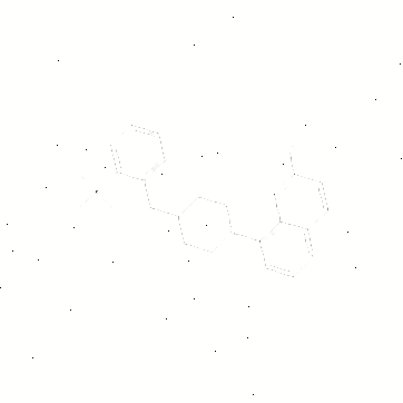 Oc1ccc2nccc(N3CCC(Cc4ccccc4C(F)(F)F)CC3)c2c1